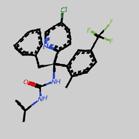 Cc1ccc(C(F)(F)F)cc1[C@](Cc1ccccc1)(NC(=O)NC(C)C)c1ccc(Cl)cn1